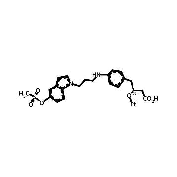 CCO[C@H](CC(=O)O)Cc1ccc(NCCCn2ccc3cc(OS(C)(=O)=O)ccc32)cc1